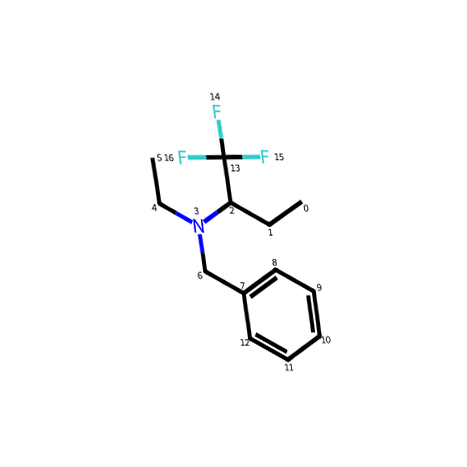 CCC(N(CC)Cc1ccccc1)C(F)(F)F